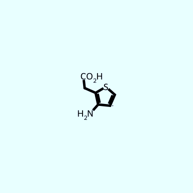 Nc1[c]csc1CC(=O)O